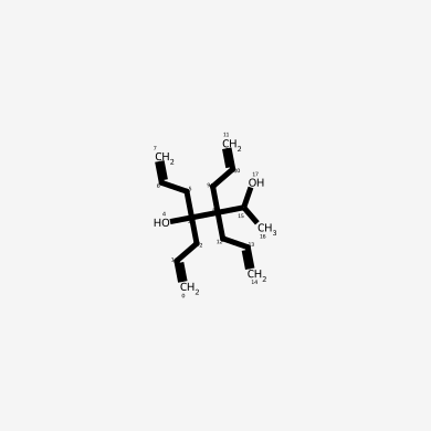 C=CCC(O)(CC=C)C(CC=C)(CC=C)C(C)O